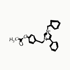 CC(=O)Oc1ccc(Cn2c[n+](Cc3ccccc3)cc2-c2ccccc2)cc1